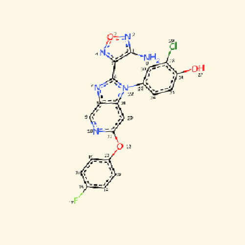 Nc1nonc1-c1nc2cnc(Oc3ccc(F)cc3)cc2n1-c1ccc(O)c(Cl)c1